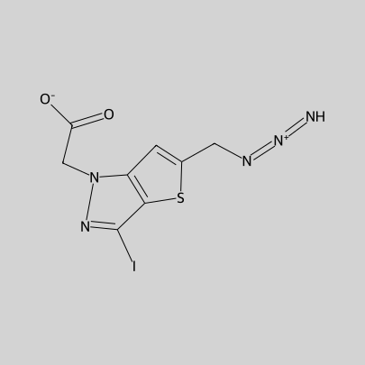 N=[N+]=NCc1cc2c(s1)c(I)nn2CC(=O)[O-]